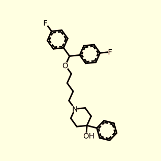 OC1(c2ccccc2)CCN(CCCCOC(c2ccc(F)cc2)c2ccc(F)cc2)CC1